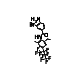 CCc1cc(C(F)(C(F)(F)F)C(F)(F)C(F)(F)F)cc(C)c1NC(=O)c1ccc(N)c(Br)c1